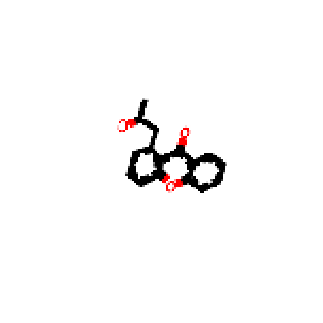 CC(=O)Cc1cccc2oc3ccccc3c(=O)c12